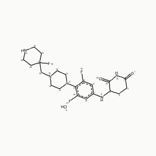 Cl.O=C1CCC(Nc2cc(F)c(N3CCN(CC4(F)CCNCC4)CC3)c(F)c2)C(=O)N1